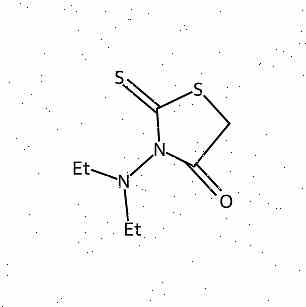 CCN(CC)N1C(=O)CSC1=S